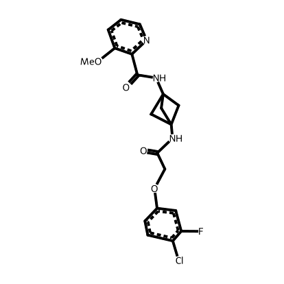 COc1cccnc1C(=O)NC12CC(NC(=O)COc3ccc(Cl)c(F)c3)(C1)C2